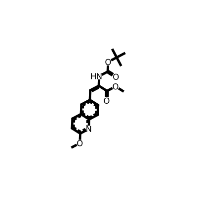 COC(=O)/C(=C\c1ccc2nc(OC)ccc2c1)NC(=O)OC(C)(C)C